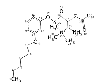 CCCCCCOc1cccc(OCC(=O)C(CC(=O)[O-])C(N)[N+](C)(C)C)c1